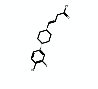 O=C(O)CC=C[C@H]1CC[C@H](c2ccc(Br)c(F)c2)CC1